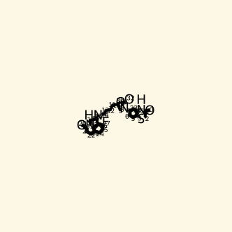 O=C1CSc2ccc(N3CC(CCCCNC4Cn5c(=O)ccc6ccc(F)c4c65)OC3=O)cc2N1